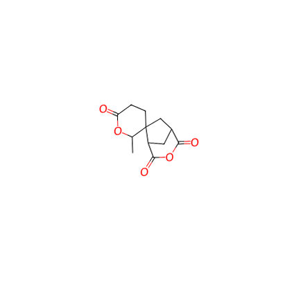 CC1OC(=O)CCC12CC1CC2C(=O)OC1=O